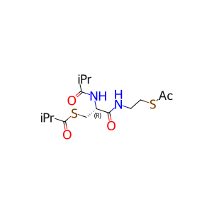 CC(=O)SCCNC(=O)[C@H](CSC(=O)C(C)C)NC(=O)C(C)C